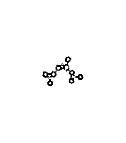 c1ccc(-c2nc(-c3ccc4c(c3)c3ccccc3n4-c3ccccc3)nc3c2sc2ccc(-c4ccc5c(c4)c4ccccc4n5-c4ccccc4)cc23)cc1